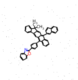 CC1(C)c2ccccc2-c2cc3c(-c4ccc(-c5nc6ccccc6o5)cc4)c4ccccc4c(-c4ccc5ccccc5c4)c3cc21